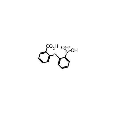 O=C(O)c1ccccc1Sc1ccccc1[NH+]([O-])O